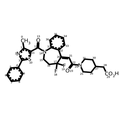 Cc1nc(-c2ccccc2)sc1C(=O)N1CCC(F)(F)C(=CC(=O)N2CCC(CC(=O)O)CC2)c2ccccc21